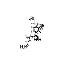 Cc1c(-c2n[nH]cc2CN(C)CCCN)ccc(OCCC(C)C)c1C(F)(F)F